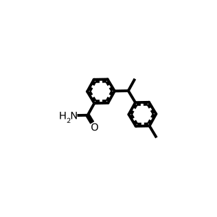 Cc1ccc(C(C)c2cccc(C(N)=O)c2)cc1